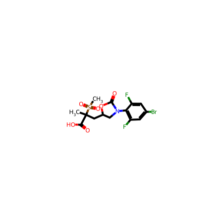 CC(CC1CN(c2c(F)cc(Br)cc2F)C(=O)O1)(C(=O)O)S(C)(=O)=O